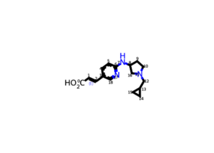 O=C(O)/C=C/c1ccc(NC2CCN(CC3CC3)C2)nc1